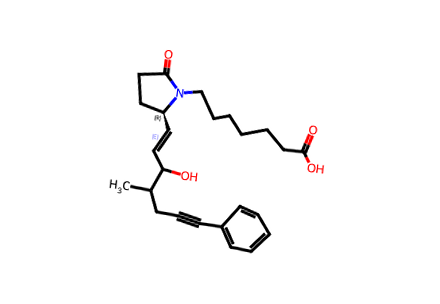 CC(CC#Cc1ccccc1)C(O)/C=C/[C@H]1CCC(=O)N1CCCCCCC(=O)O